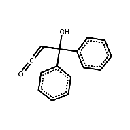 O=C=CC(O)(c1ccccc1)c1ccccc1